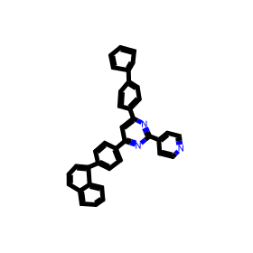 c1ccc(-c2ccc(-c3cc(-c4ccc(-c5cccc6ccccc56)cc4)nc(-c4ccncc4)n3)cc2)cc1